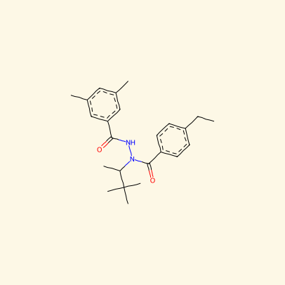 CCc1ccc(C(=O)N(NC(=O)c2cc(C)cc(C)c2)C(C)C(C)(C)C)cc1